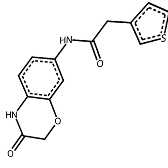 O=C(Cc1ccsc1)Nc1ccc2c(c1)OCC(=O)N2